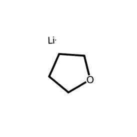 C1CCOC1.[Li]